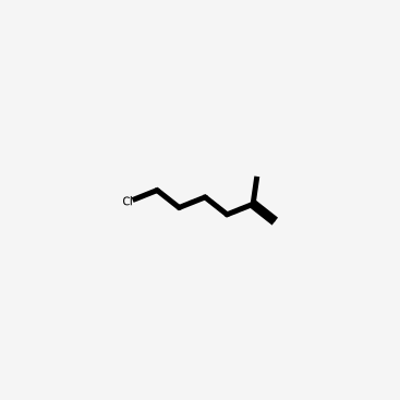 C=C(C)CCCCCl